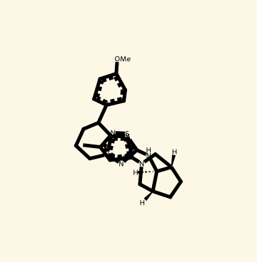 COc1ccc(C2CCCn3nc(N[C@@H]4[C@@H]5CC[C@H]4CN(c4cc(C)ns4)C5)nc32)cc1